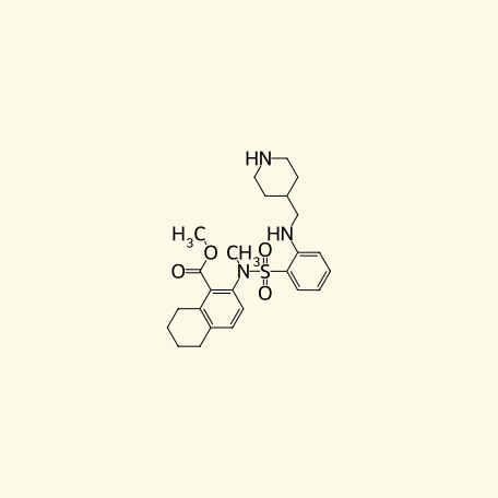 COC(=O)c1c(N(C)S(=O)(=O)c2ccccc2NCC2CCNCC2)ccc2c1CCCC2